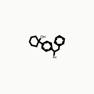 CC(=O)C(Cc1ccccc1)c1ccc(C2(O)CCCCC2)cc1